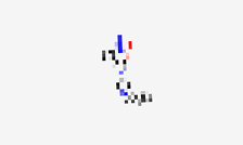 CCOC(=O)N1CCC(N2CCC3(CC2)OC(=O)Nc2ccccc23)CC1